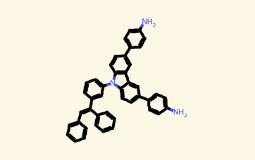 Nc1ccc(-c2ccc3c(c2)c2cc(-c4ccc(N)cc4)ccc2n3-c2cccc(/C(=C/c3ccccc3)c3ccccc3)c2)cc1